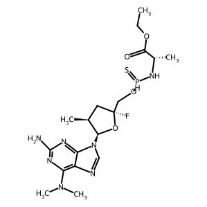 CCOC(=O)[C@H](C)N[PH](=S)OC[C@]1(F)C[C@H](C)[C@H](n2cnc3c(N(C)C)nc(N)nc32)O1